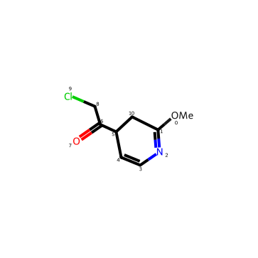 COC1=NC=CC(C(=O)CCl)C1